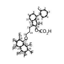 Cc1ccccc1-c1cccc2c(CCCOc3c(F)c(F)c(F)c4c(F)c(F)c(F)c(F)c34)c(OC(=O)O)[nH]c12